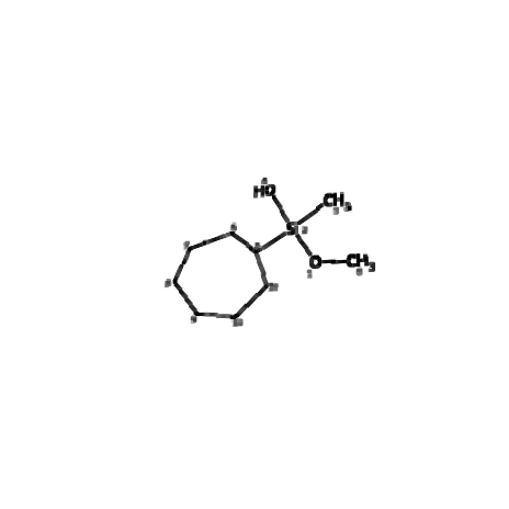 CO[Si](C)(O)C1CCCCCC1